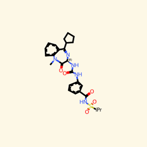 CC(C)S(=O)(=O)NC(=O)c1cccc(NC(=O)N[C@@H]2N=C(C3CCCC3)c3ccccc3N(C)C2=O)c1